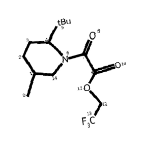 CC1CCC(C(C)(C)C)N(C(=O)C(=O)OCC(F)(F)F)C1